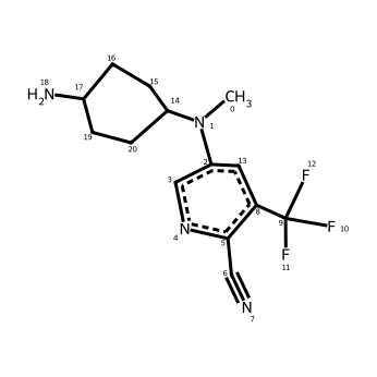 CN(c1cnc(C#N)c(C(F)(F)F)c1)C1CCC(N)CC1